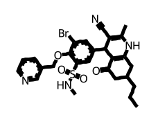 CCCC1CC(=O)C2=C(C1)NC(C)=C(C#N)C2c1cc(Br)c(OCc2cccnc2)c(S(=O)(=O)NC)c1